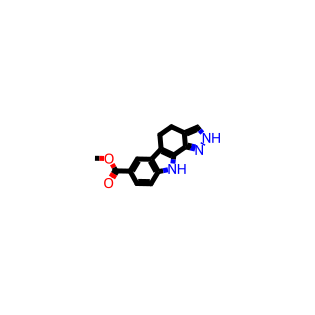 COC(=O)c1ccc2[nH]c3c(c2c1)CCc1c[nH]nc1-3